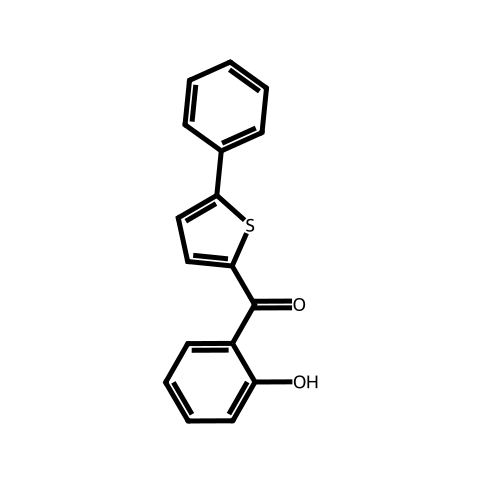 O=C(c1ccc(-c2ccccc2)s1)c1ccccc1O